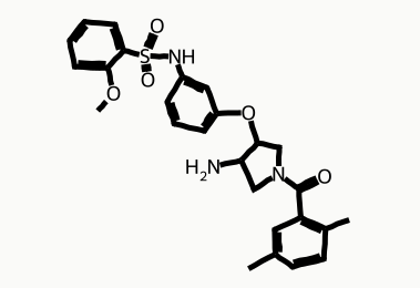 COc1ccccc1S(=O)(=O)Nc1cccc(OC2CN(C(=O)c3cc(C)ccc3C)CC2N)c1